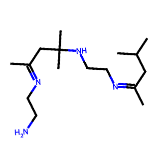 CC(CC(C)C)=NCCNC(C)(C)CC(C)=NCCN